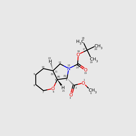 COC(=O)[C@@H]1[C@@H]2OCCCC[C@H]2CN1C(=O)OC(C)(C)C